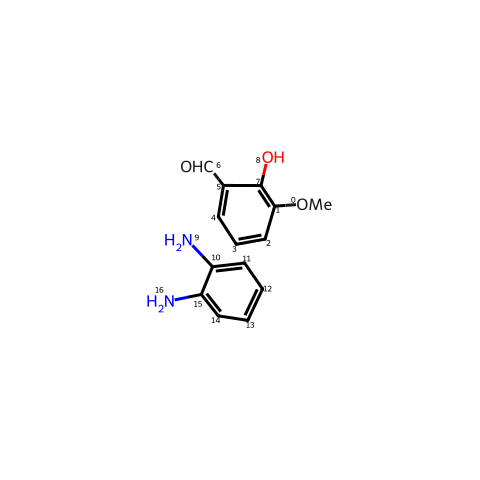 COc1cccc(C=O)c1O.Nc1ccccc1N